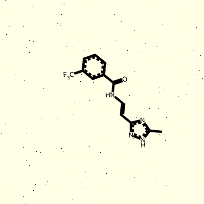 Cc1nc(C=CNC(=O)c2cccc(C(F)(F)F)c2)n[nH]1